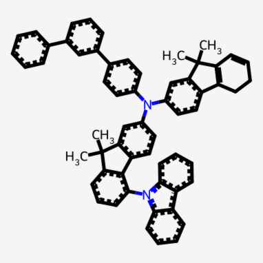 CC1(C)C2=C(CCC=C2)c2ccc(N(c3ccc(-c4cccc(-c5ccccc5)c4)cc3)c3ccc4c(c3)C(C)(C)c3cccc(-n5c6ccccc6c6ccccc65)c3-4)cc21